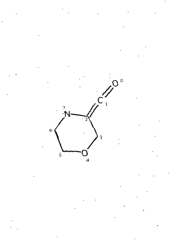 O=C=C1COCC[N]1